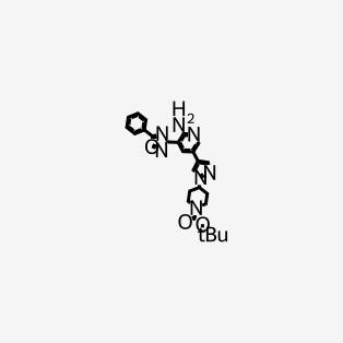 CC(C)(C)OC(=O)N1CCC(n2cc(-c3cnc(N)c(-c4noc(-c5ccccc5)n4)c3)cn2)CC1